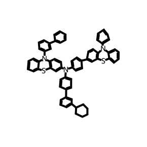 c1ccc(-c2cccc(N3c4ccccc4Sc4cc(N(c5ccc(-c6cccc(C7CCCCC7)c6)cc5)c5ccc(-c6ccc7c(c6)Sc6ccccc6N7c6ccccc6)cc5)ccc43)c2)cc1